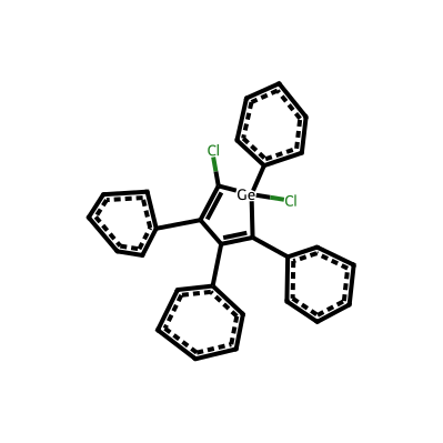 Cl[C]1=C(c2ccccc2)C(c2ccccc2)=[C](c2ccccc2)[Ge]1([Cl])[c]1ccccc1